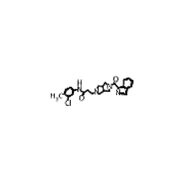 Cc1ccc(NC(=O)CCN2CC3CN(C(=O)c4nccc5ccccc45)CC3C2)cc1Cl